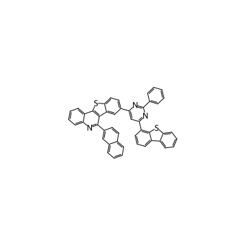 c1ccc(-c2nc(-c3ccc4sc5c6ccccc6nc(-c6ccc7ccccc7c6)c5c4c3)cc(-c3cccc4c3sc3ccccc34)n2)cc1